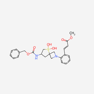 COC(=O)C=Cc1ccccc1N1CC2(CC(NC(=O)OCc3ccccc3)CS2(O)O)C1